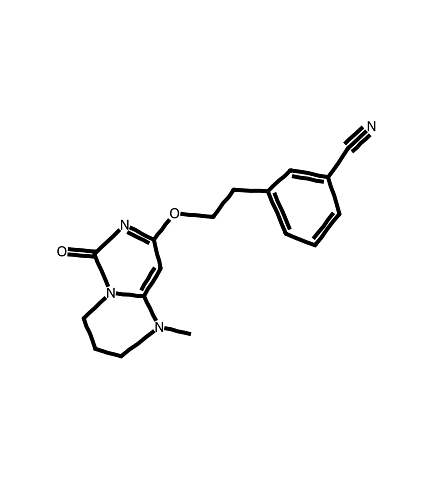 CN1CCCn2c1cc(OCCc1cccc(C#N)c1)nc2=O